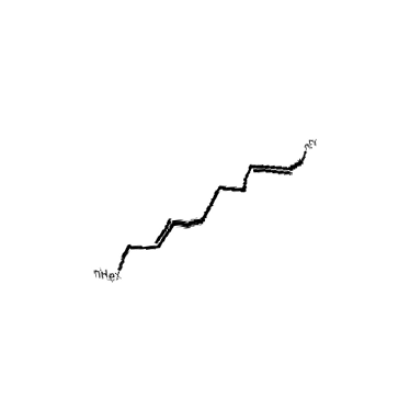 [CH2]CCCCCCC=CCCCC=CCCC